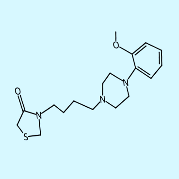 COc1ccccc1N1CCN(CCCCN2CSCC2=O)CC1